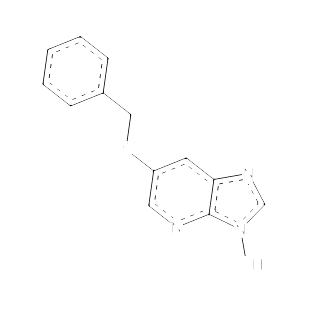 Cn1cnc2cc(SCc3ccccc3)cnc21